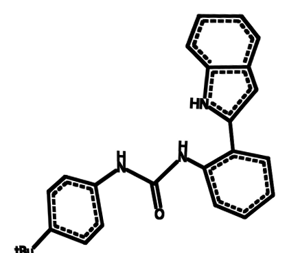 CC(C)(C)c1ccc(NC(=O)Nc2ccccc2-c2cc3ccccc3[nH]2)cc1